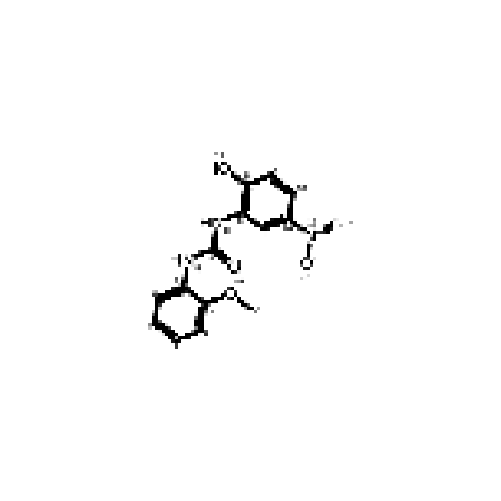 COc1ccccc1NC(=O)Nc1cc([N+](=O)[O-])ccc1O